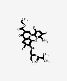 CCOC(=O)c1cn(-c2nc(N)c(F)cc2F)c2c(Cl)c(NCC(CCl)OC(=O)C(C)C)c(F)cc2c1=O